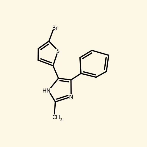 Cc1nc(-c2ccccc2)c(-c2ccc(Br)s2)[nH]1